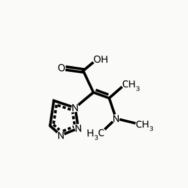 CC(=C(C(=O)O)n1ccnn1)N(C)C